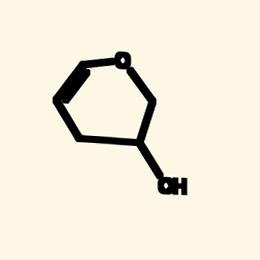 OC1CC=COC1